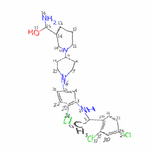 CC(Nc1cc(N2CCC(N3CCCC(C(N)O)C3)CC2)ccc1Cl)c1ccc(Cl)cc1Cl